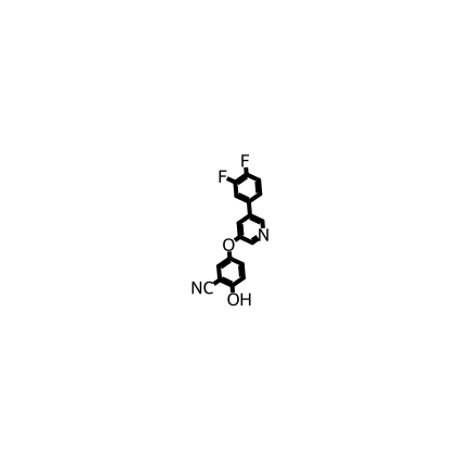 N#Cc1cc(Oc2cncc(-c3ccc(F)c(F)c3)c2)ccc1O